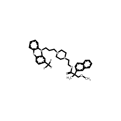 COCC(C)(C(=S)OCCN1CCN(CCCN2c3ccccc3Sc3ccc(C(F)(F)F)cc32)CC1)c1ccc2ccccc2c1